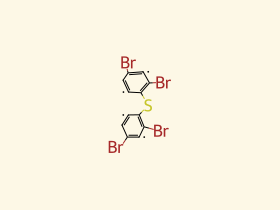 Brc1[c]c(Br)c(Sc2[c]cc(Br)[c]c2Br)[c]c1